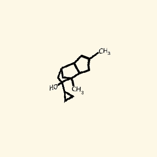 CC1CC2C3CC(C)(C2C1)C(O)(C1CC1)C3